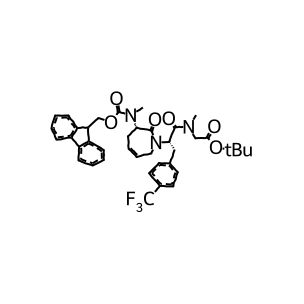 CN(CC(=O)OC(C)(C)C)C(=O)[C@H](Cc1ccc(C(F)(F)F)cc1)N1CC=CC[C@H](N(C)C(=O)OCC2c3ccccc3-c3ccccc32)C1=O